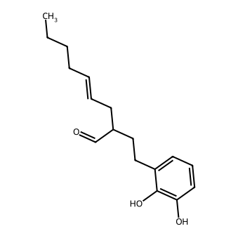 CCCCC=CCC(C=O)CCc1cccc(O)c1O